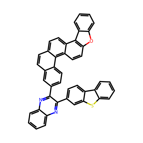 c1ccc2nc(-c3ccc4c(c3)sc3ccccc34)c(-c3ccc4c(ccc5ccc6c(ccc7oc8ccccc8c76)c54)c3)nc2c1